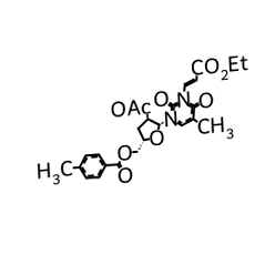 CCOC(=O)/C=C/n1c(=O)c(C)cn([C@@H]2O[C@H](COC(=O)c3ccc(C)cc3)C[C@H]2OC(C)=O)c1=O